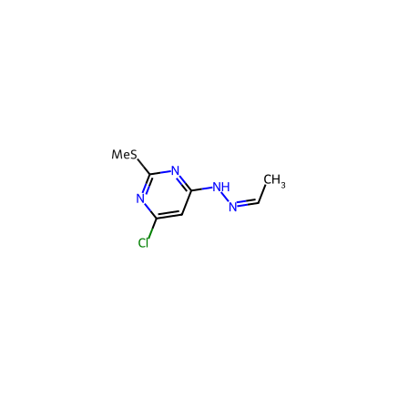 C/C=N\Nc1cc(Cl)nc(SC)n1